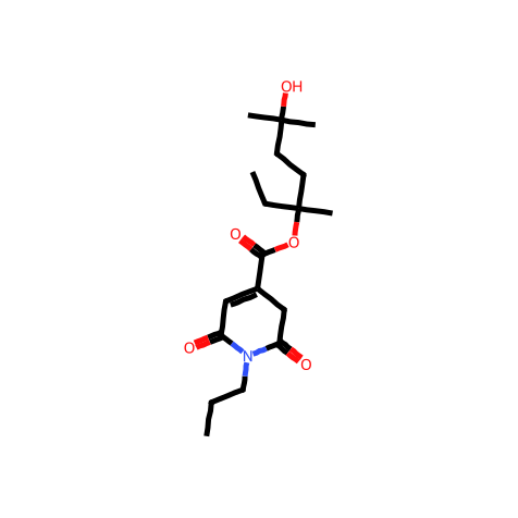 CCCN1C(=O)C=C(C(=O)OC(C)(CC)CCC(C)(C)O)CC1=O